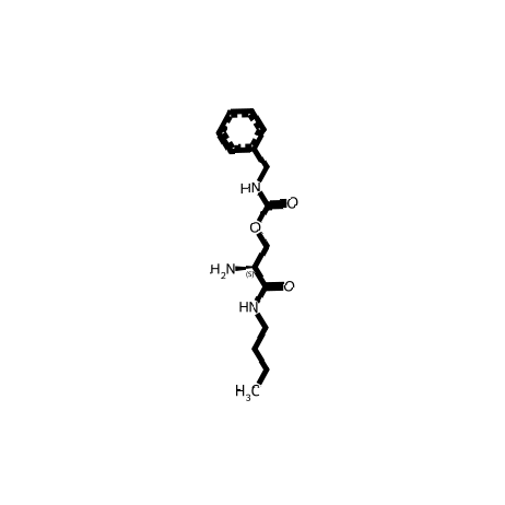 CCCCNC(=O)[C@@H](N)COC(=O)NCc1ccccc1